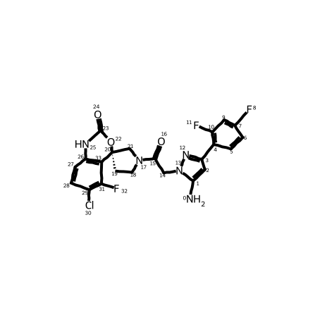 Nc1cc(-c2ccc(F)cc2F)nn1CC(=O)N1CC[C@@]2(C1)OC(=O)Nc1ccc(Cl)c(F)c12